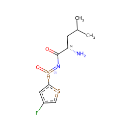 CC(C)C[C@H](N)C(=O)/N=[SH](=O)/c1cc(F)cs1